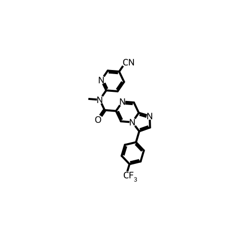 CN(C(=O)c1cn2c(-c3ccc(C(F)(F)F)cc3)cnc2cn1)c1ccc(C#N)cn1